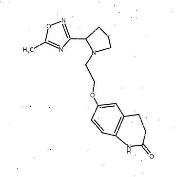 Cc1nc(C2CCCN2CCOc2ccc3c(c2)CCC(=O)N3)no1